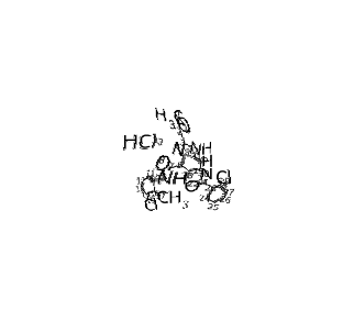 COCc1nc2c(C(=O)Nc3cccc(Cl)c3C)cc(NC(=O)c3ccccc3Cl)cc2[nH]1.Cl